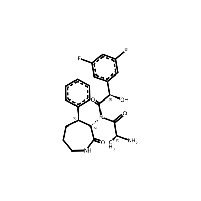 C[C@H](N)C(=O)N(C(=O)[C@H](O)c1cc(F)cc(F)c1)[C@@H]1C(=O)NCCC[C@H]1c1ccccc1